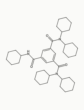 O=C(NC1CCCCC1)c1cc(C(=O)N(C2CCCCC2)C2CCCCC2)cc(C(=O)N(C2CCCCC2)C2CCCCC2)c1